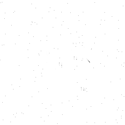 CCC1(CC)OC(CC2=N[C@H](c3ccccc3)C(CC)(CC)O2)=N[C@@H]1c1ccccc1.[Ni]